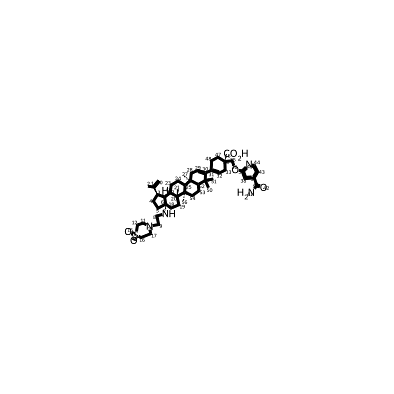 C=C(C)[C@@H]1CC[C@]2(NCCN3CCS(=O)(=O)CC3)CC[C@]3(C)[C@H](CCC4[C@@]5(C)CC=C(C6=CC[C@@](COc7cc(C(N)=O)ccn7)(C(=O)O)CC6)C(C)(C)C5CC[C@]43C)C12